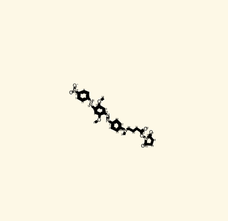 COc1cc(/N=N/c2ccc([N+](=O)[O-])cc2)c(OC)cc1N=Nc1ccc(N(C)CCCC(=O)ON2C(=O)CCC2=O)cc1